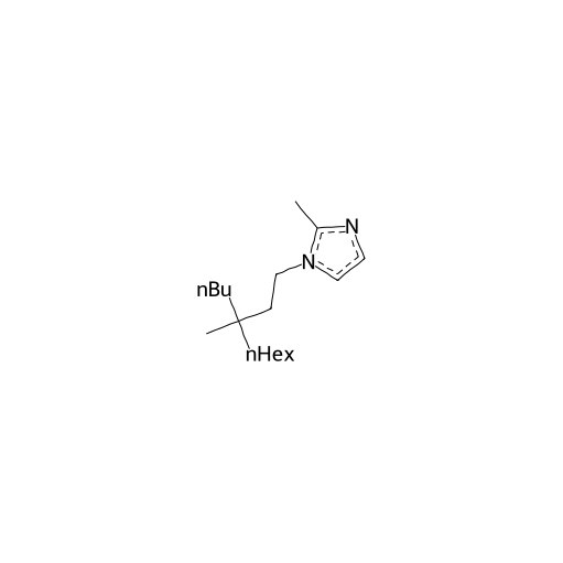 CCCCCCC(C)(CCCC)CCn1ccnc1C